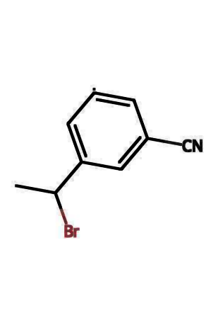 CC(Br)c1c[c]cc(C#N)c1